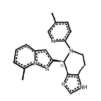 Cc1ccc(N2CCc3[nH]cnc3[C@H]2c2cc3cccc(C)n3n2)nc1